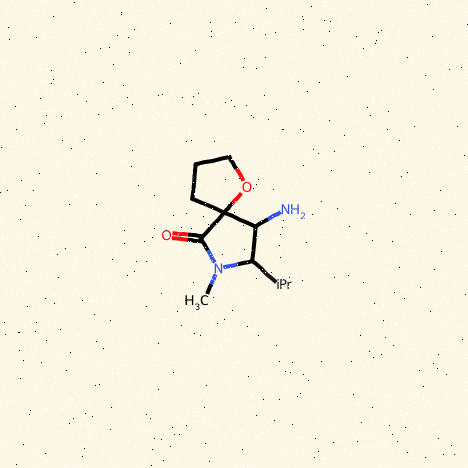 CC(C)C1C(N)C2(CCCO2)C(=O)N1C